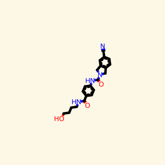 N#Cc1ccc2c(c1)CN(C(=O)Nc1ccc(C(=O)NCCCCO)cc1)C2